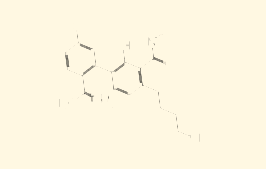 C=C(C)c1ccc(C)cc1-c1c(O)cc(CCCCC)c(C(=O)NC)c1O